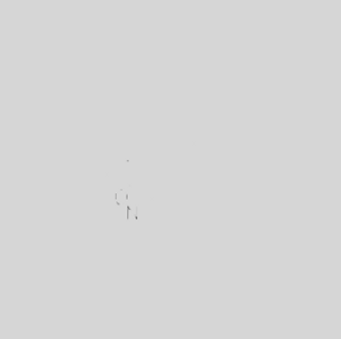 Cc1ccc2c(c1)C1(C)CCN(C)C(C2)C1=O